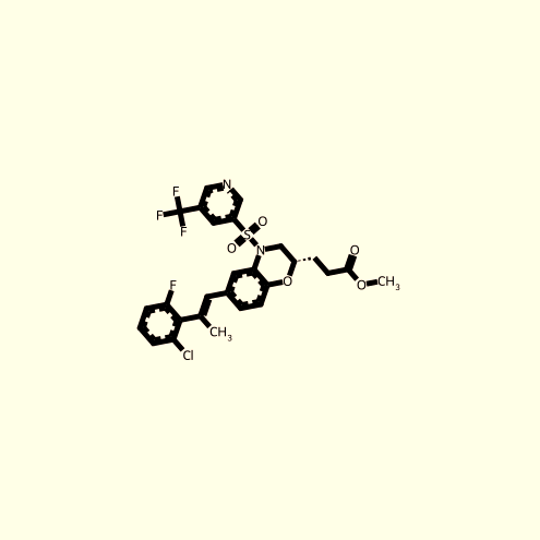 COC(=O)CC[C@H]1CN(S(=O)(=O)c2cncc(C(F)(F)F)c2)c2cc(/C=C(\C)c3c(F)cccc3Cl)ccc2O1